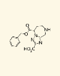 O=C(O)c1nc2n(n1)C(C(=O)OCc1ccccc1)CCNC2